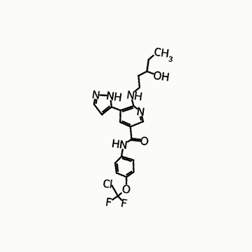 CCC(O)CCNc1ncc(C(=O)Nc2ccc(OC(F)(F)Cl)cc2)cc1-c1ccn[nH]1